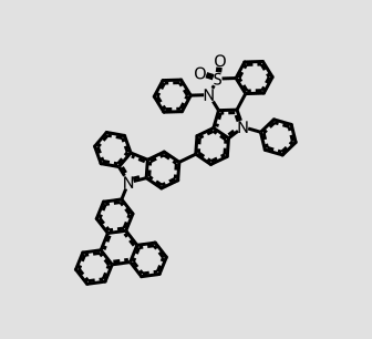 O=S1(=O)c2ccccc2-c2c(c3cc(-c4ccc5c(c4)c4ccccc4n5-c4ccc5c6ccccc6c6ccccc6c5c4)ccc3n2-c2ccccc2)N1c1ccccc1